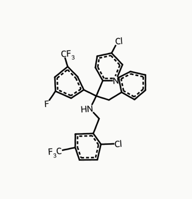 Fc1cc(C(F)(F)F)cc(C(Cc2ccccc2)(NCc2cc(C(F)(F)F)ccc2Cl)c2ccc(Cl)cn2)c1